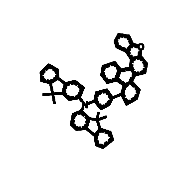 CC1(C)c2ccccc2-c2ccc(N(c3ccc(-c4cccc5c6ccc7oc8ccccc8c7c6c6ccccc6c45)cc3)c3cccc4c3C(C)(C)c3ccccc3-4)cc21